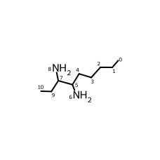 CCCCCC(N)C(N)CC